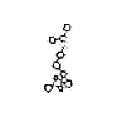 N=C(/N=c1\[nH]cc(-c2ccccc2)cc1-c1ccccc1)c1ccc(-c2cccc(-c3ccc4c(c3)C3(c5ccccc5-4)c4ccccc4N(c4ccccc4)c4ccccc43)c2)cc1